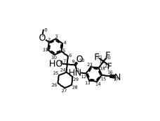 COc1ccc(CC(O)(C(=O)Nc2ccc(C#N)c(C(F)(F)F)c2)C2CCCCC2)cc1